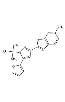 Cc1ccc2nc(-c3cc(-c4ccco4)n(C(C)(C)C)n3)oc2c1